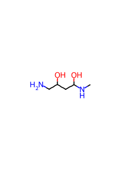 CNC(O)CC(O)CN